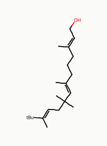 C/C(=C\CO)CCC/C(C)=C/C(C)(C)C/C=C(\C)C(C)(C)C